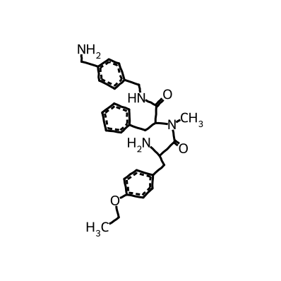 CCOc1ccc(CC(N)C(=O)N(C)C(Cc2ccccc2)C(=O)NCc2ccc(CN)cc2)cc1